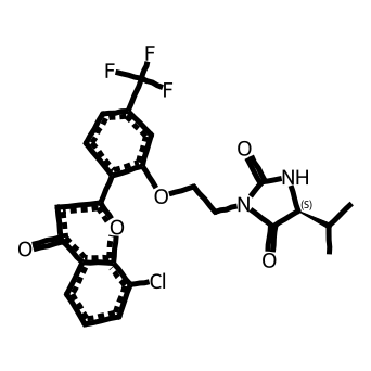 CC(C)[C@@H]1NC(=O)N(CCOc2cc(C(F)(F)F)ccc2-c2cc(=O)c3cccc(Cl)c3o2)C1=O